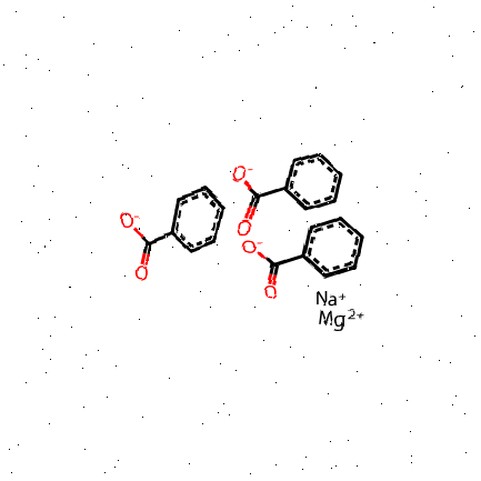 O=C([O-])c1ccccc1.O=C([O-])c1ccccc1.O=C([O-])c1ccccc1.[Mg+2].[Na+]